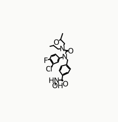 CC1CN(C(=O)N(Cc2ccc(C(=O)NO)cc2)c2ccc(F)c(Cl)c2)CC(C)O1